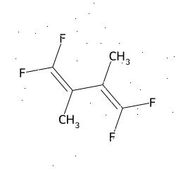 CC(=C(F)F)C(C)=C(F)F